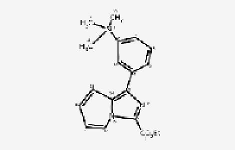 CCOC(=O)c1nc(-c2cccc([Si](C)(C)C)c2)c2ccccn12